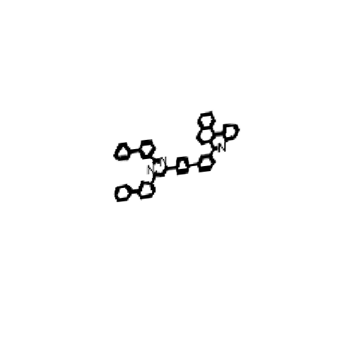 c1ccc(-c2cccc(-c3cc(-c4ccc(-c5cccc(-c6nc7ccccc7c7c6ccc6ccccc67)c5)cc4)nc(-c4cccc(-c5ccccc5)c4)n3)c2)cc1